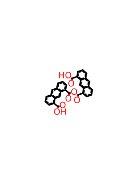 O=C(O)c1cccc2cc3cccc(C(=O)OC(=O)c4cccc5cc6cccc(C(=O)O)c6cc45)c3cc12